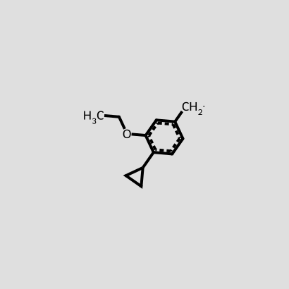 [CH2]c1ccc(C2CC2)c(OCC)c1